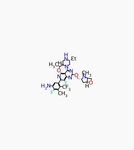 CC[C@@H]1CN2c3nc(OC[C@H]4C[C@H]5OCC5N4C)nc4c(F)c(-c5cc(N)c(F)c(C)c5C(F)(F)F)nc(c34)O[C@@H](C)[C@@H]2CN1